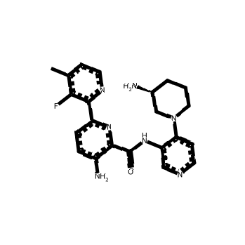 Cc1ccnc(-c2ccc(N)c(C(=O)Nc3cnccc3N3CCC[C@H](N)C3)n2)c1F